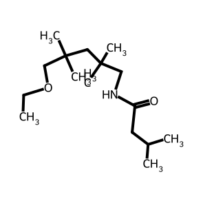 CCOCC(C)(C)CC(C)(C)CNC(=O)CC(C)C